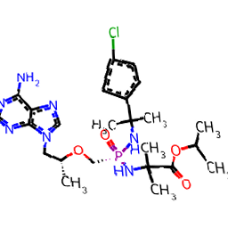 CC(C)OC(=O)C(C)(C)N[P@](=O)(CO[C@H](C)Cn1cnc2c(N)ncnc21)NC(C)(C)c1ccc(Cl)cc1